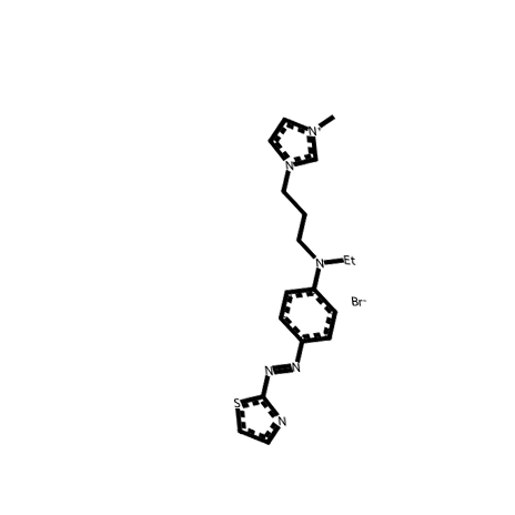 CCN(CCCn1cc[n+](C)c1)c1ccc(/N=N/c2nccs2)cc1.[Br-]